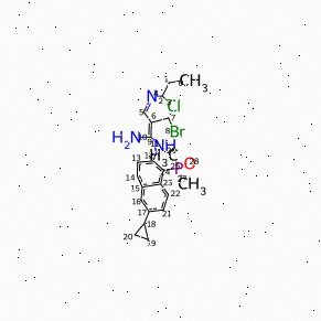 CCC(Cl)/N=C\C(CBr)=C(/N)Nc1ccc2cc(C3CC3)ccc2c1P(C)(C)=O